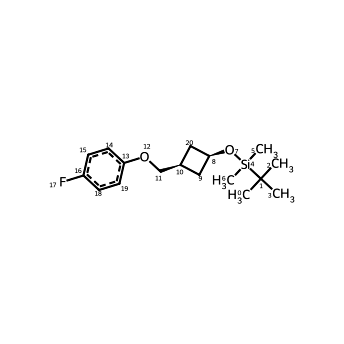 CC(C)(C)[Si](C)(C)O[C@H]1C[C@@H](COc2ccc(F)cc2)C1